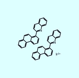 [Ir+3].c1ccc2nc(-c3cccc4c3ccc3ccccc34)ccc2c1.c1ccc2nc(-c3cccc4c3ccc3ccccc34)ccc2c1